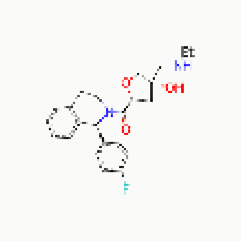 CCNC[C@]1(O)CO[C@H](C(=O)N2CCc3ccccc3[C@@H]2c2ccc(F)cc2)C1